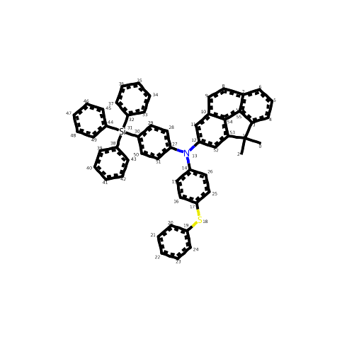 CC1(C)c2cccc3ccc4cc(N(c5ccc(Sc6ccccc6)cc5)c5ccc([Si](c6ccccc6)(c6ccccc6)c6ccccc6)cc5)cc1c4c23